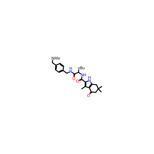 CCCCC(NC(=O)c1[nH]c2c(c1C)C(=O)CC(C)(C)C2)C(=O)NCc1ccc(CNC)cc1